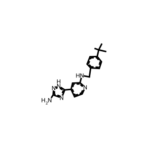 CC(C)(C)c1ccc(CNc2cc(-c3nc(N)n[nH]3)ccn2)cc1